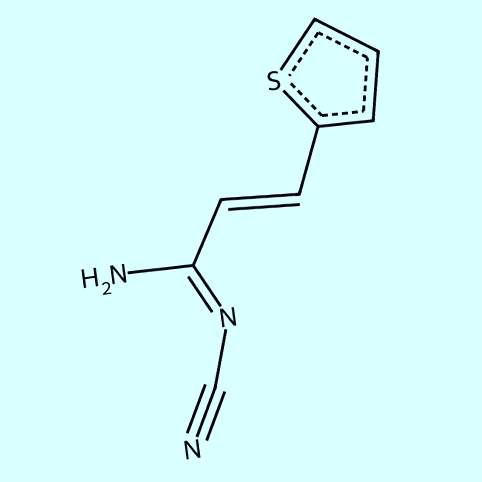 N#CN=C(N)C=Cc1cccs1